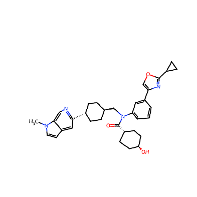 Cn1ccc2cc([C@H]3CC[C@H](CN(c4cccc(-c5coc(C6CC6)n5)c4)C(=O)[C@H]4CC[C@H](O)CC4)CC3)ncc21